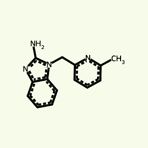 Cc1cccc(Cn2c(N)nc3ccccc32)n1